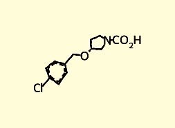 O=C(O)N1CC[C@H](OCc2ccc(Cl)cc2)C1